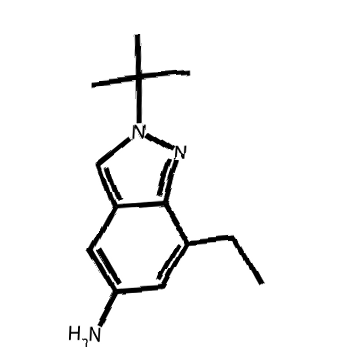 CCc1cc(N)cc2cn(C(C)(C)C)nc12